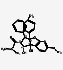 COc1ccc2c(n1)O[C@@]1(c3ccc(C)cc3)[C@H](c3ccccc3)[C@@H](C(=O)N(C)C)[C@@H](O)[C@@]21O